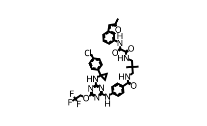 Cc1cc2cccc(NC(=O)C(=O)NCC(C)(C)CNC(=O)c3ccc(Nc4nc(NC5(c6ccc(Cl)cc6)CC5)nc(OCC(F)(F)F)n4)cc3)c2o1